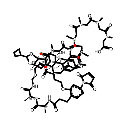 C[C@H](NC(=O)CCc1ccc(N2C(=O)C=CC2=O)cc1OCCCC(=O)N(C)CC(=O)N(C)CC(=O)N(C)CC(=O)N(C)CC(=O)N(C)CC(=O)N(C)CC(=O)N(C)CC(=O)N(C)CC(=O)N(C)CC(=O)N(C)CC(=O)O)C(=O)N[C@@H](C)C(=O)NCOCC(=O)[C@@]12OC(C3CCC3)O[C@@H]1C[C@H]1[C@@H]3CCC4=CC(=O)C=C[C@]4(C)[C@H]3[C@@H](O)C[C@@]12C